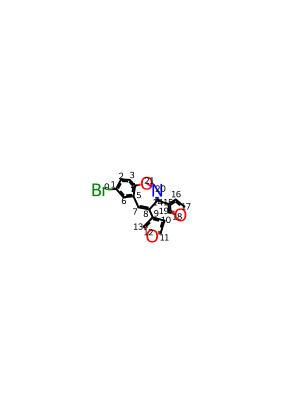 Brc1ccc2c(c1)C=C(c1ccoc1)C(c1ccoc1)=NO2